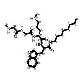 CCCCCCCCNC(=O)C(Cc1c[nH]c2ccccc12)NC(=O)[C@H](CCCNC)NC(=O)CNC(=O)CNC